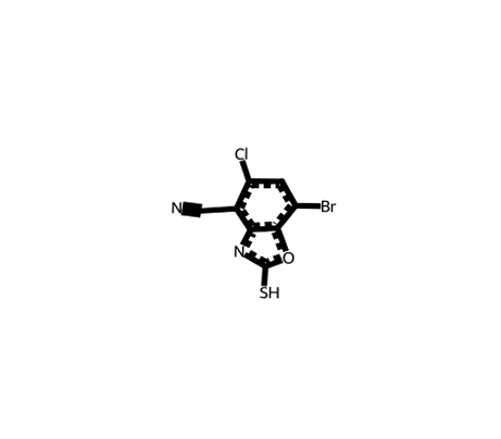 N#Cc1c(Cl)cc(Br)c2oc(S)nc12